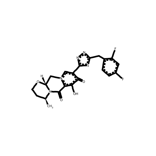 C[C@H]1CCO[C@@H]2Cn3cc(-c4nnc(Cc5ccc(F)cc5F)s4)c(=O)c(O)c3C(=O)N12